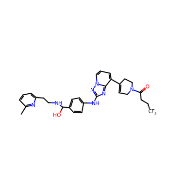 Cc1cccc(CCNC(O)c2ccc(Nc3nc4c(C5=CCN(C(=O)CCC(F)(F)F)CC5)cccn4n3)cc2)n1